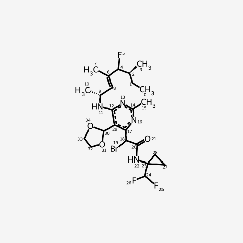 CC[C@H](C)C(F)/C(C)=C/[C@@H](C)Nc1nc(C)nc(C(Br)C(=O)NC2(C(F)F)CC2)c1C1OCCO1